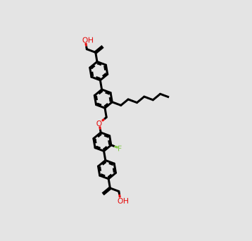 C=C(CO)c1ccc(-c2ccc(COc3ccc(-c4ccc(C(=C)CO)cc4)c(F)c3)c(CCCCCCC)c2)cc1